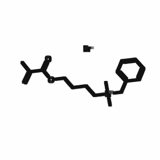 C=C(C)C(=O)OCCCC[N+](C)(C)Cc1ccccc1.[Br-]